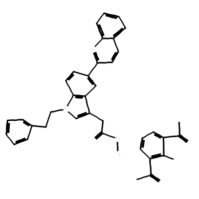 Cc1c(C(=O)O)cccc1C(=O)O.NNC(=O)Cc1cn(CCc2ccccc2)c2ccc(-c3ccc4ccccc4n3)cc12